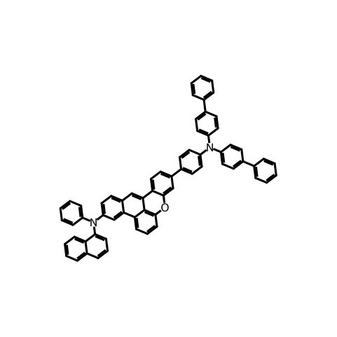 c1ccc(-c2ccc(N(c3ccc(-c4ccccc4)cc3)c3ccc(-c4ccc5c(c4)Oc4cccc6c4c-5cc4ccc(N(c5ccccc5)c5cccc7ccccc57)cc46)cc3)cc2)cc1